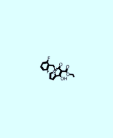 CCOC(=O)c1c(O)c2cccn2n(Cc2c(F)cccc2F)c1=O